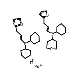 C(=CP(C1CCCCC1)C1CCCCC1)Cc1ccco1.C(=CP(C1CCCCC1)C1CCCCC1)Cc1ccco1.[Cl-].[Cl-].[Pd+2]